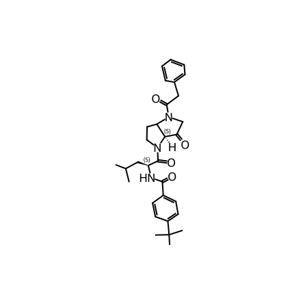 CC(C)C[C@H](NC(=O)c1ccc(C(C)(C)C)cc1)C(=O)N1CCC2[C@H]1C(=O)CN2C(=O)Cc1ccccc1